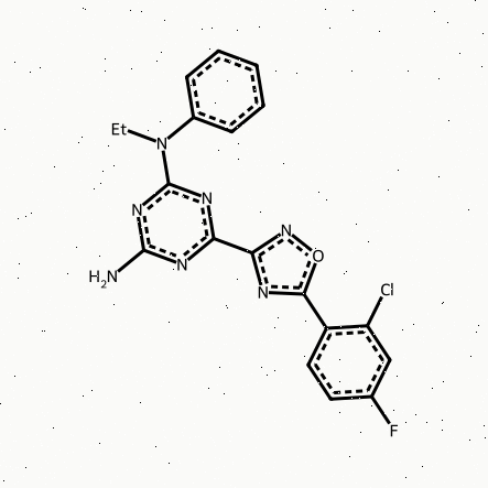 CCN(c1ccccc1)c1nc(N)nc(-c2noc(-c3ccc(F)cc3Cl)n2)n1